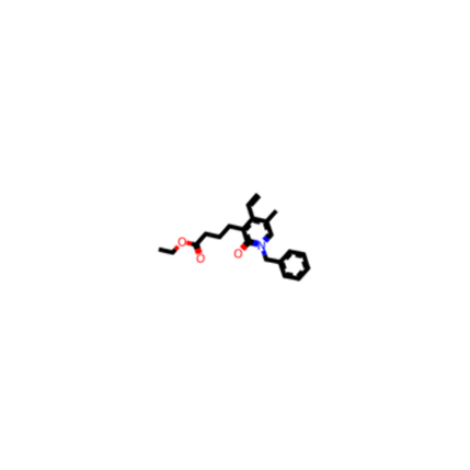 C=Cc1c(C)cn(Cc2ccccc2)c(=O)c1CCCC(=O)OCC